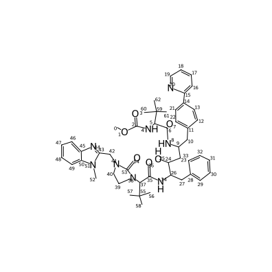 COC(=O)NC(C(=O)NC(Cc1ccc(-c2ccccn2)cc1)CC(O)C(Cc1ccccc1)NC(=O)C(N1CCN(Cc2nc3ccccc3n2C)C1=O)C(C)(C)C)C(C)(C)C